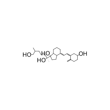 C=C1CC[C@H](O)C/C1=C/C=C1CCC[C@@]2(C)C1CC[C@]2(O)[C@@](C)(O)CCCC(C)CO